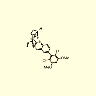 C=CC(=O)N1C[C@@H]2CC1[C@@H]2Nc1ncc2cc(-c3c(Cl)c(OC)cc(OC)c3Cl)ccc2n1